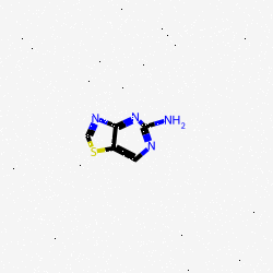 Nc1ncc2scnc2n1